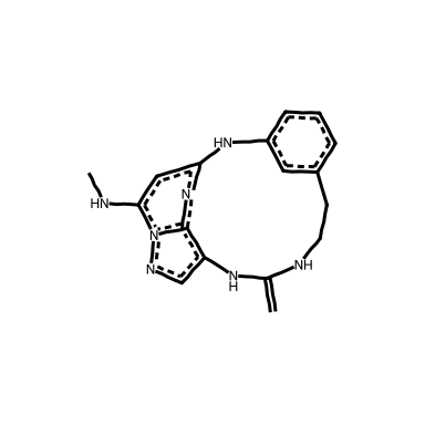 C=C1NCCc2cccc(c2)Nc2cc(NC)n3ncc(c3n2)N1